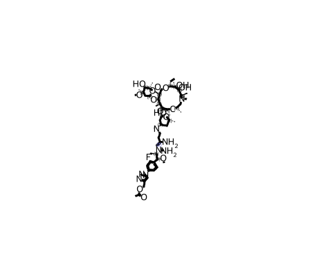 CC[C@H]1OC(=O)[C@H](C)[C@@H](O[C@H]2C[C@@](C)(OC)[C@@H](O)[C@H](C)O2)[C@H](C)[C@@H](O[C@H]2C[C@@H](N(C)CC/C(N)=C/N(N)[C@H](CF)[C@H](OC)c3ccc(-n4cc(COC(C)=O)nn4)cc3)C[C@@H](C)O2)[C@](C)(O)C[C@@H](C)CN(C)[C@H](C)[C@@H](O)[C@]1(C)O